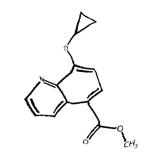 COC(=O)c1ccc(OC2CC2)c2ncccc12